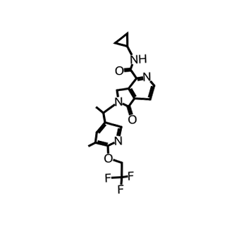 Cc1cc(C(C)N2Cc3c(ccnc3C(=O)NC3CC3)C2=O)cnc1OCC(F)(F)F